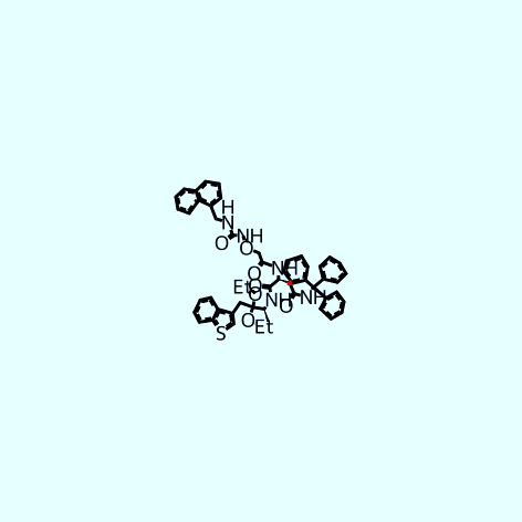 CCOC(Cc1csc2ccccc12)(OCC)[C@H](C)NC(=O)[C@H](CC(=O)NC(c1ccccc1)(c1ccccc1)c1ccccc1)NC(=O)CONC(=O)NCc1cccc2ccccc12